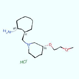 COCCO[C@@H]1CCCN(C[C@@H]2CCCC[C@H]2N)C1.Cl